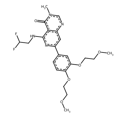 COCCOc1ccc(-c2cc3ncn(C)c(=O)c3c(NCC(F)F)n2)cc1OCCOC